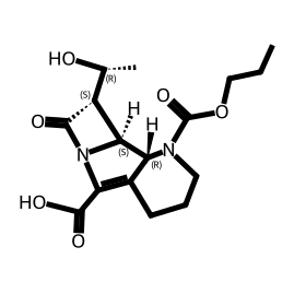 CCCOC(=O)N1CCCC2=C(C(=O)O)N3C(=O)[C@H]([C@@H](C)O)[C@H]3[C@@H]21